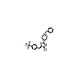 O=C1N=C(N2CCN(Cc3ccccc3)CC2)SC1=Cc1ccc(C(F)(F)F)cc1